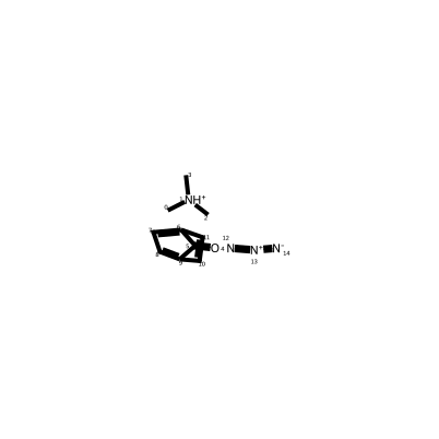 C[NH+](C)C.O=C1C2=CC=C1C=C2.[N-]=[N+]=[N-]